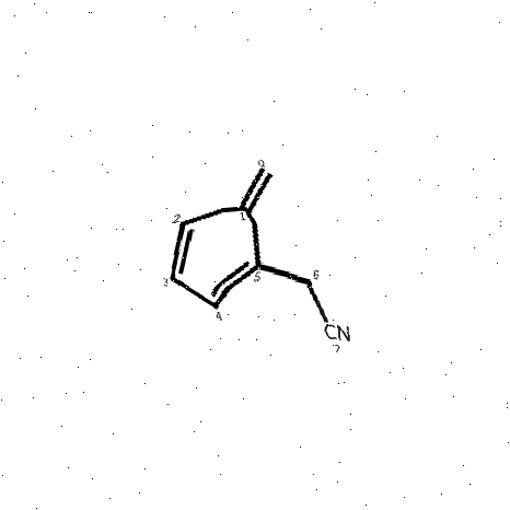 C=C1C=CC=C1CC#N